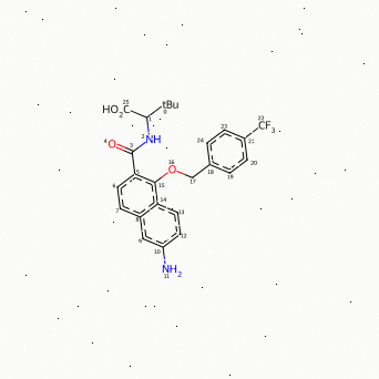 CC(C)(C)C(NC(=O)c1ccc2cc(N)ccc2c1OCc1ccc(C(F)(F)F)cc1)C(=O)O